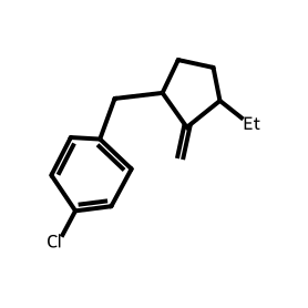 C=C1C(CC)CCC1Cc1ccc(Cl)cc1